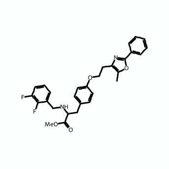 COC(=O)C(Cc1ccc(OCCc2nc(-c3ccccc3)oc2C)cc1)NCc1cccc(F)c1F